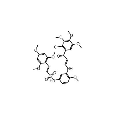 COc1cc(OC)c(/C=C/S(=O)(=O)Nc2ccc(OC)c(N/C=C/C(=O)c3cc(OC)c(OC)c(OC)c3Cl)c2)c(OC)c1